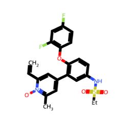 C=Cc1cc(-c2cc(NS(=O)(=O)CC)ccc2Oc2ccc(F)cc2F)cc(C)[n+]1[O-]